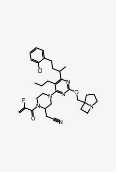 C=C(F)C(=O)N1CCN(c2nc(OCC34CCCN3CC4)nc(C(C)CCc3ccccc3Cl)c2CCC)CC1CC#N